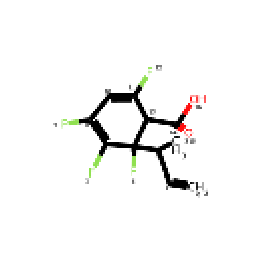 C=CC(C)C1(F)C(F)=C(F)C=C(F)C1C(=O)O